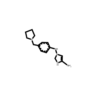 NC1=CN(Nc2ccc(CN3CCCC3)cc2)CN1